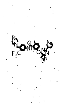 Cc1ccc(Oc2nc(-c3cccnc3)nc3nn(C)cc23)cc1C(=O)Nc1ccc(CN2CCN(C)CC2)c(C(F)(F)F)c1